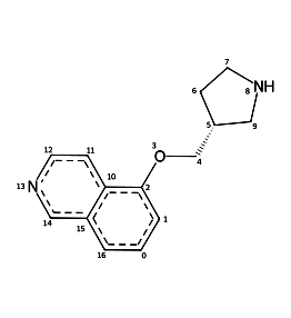 c1cc(OC[C@@H]2CCNC2)c2ccncc2c1